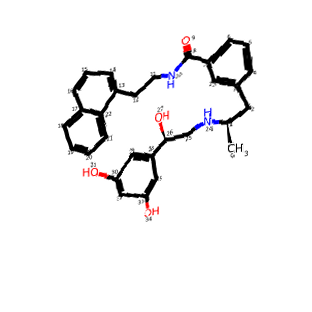 C[C@H](Cc1cccc(C(=O)NCCc2cccc3ccccc23)c1)NC[C@H](O)c1cc(O)cc(O)c1